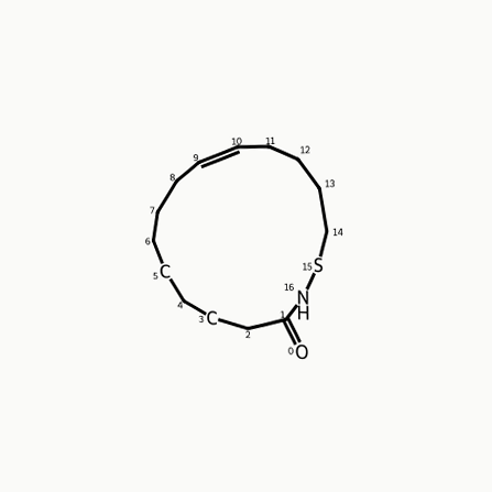 O=C1CCCCCCCC=CCCCCSN1